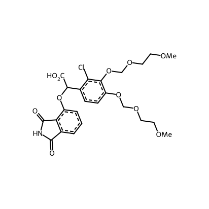 COCCOCOc1ccc(C(Oc2cccc3c2C(=O)NC3=O)C(=O)O)c(Cl)c1OCOCCOC